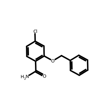 NC(=O)c1ccc(Cl)cc1OCc1ccccc1